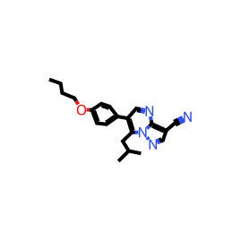 CCCCOc1ccc(-c2cnc3c(C#N)cnn3c2CC(C)C)cc1